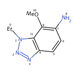 CCn1nnc2ccc(N)c(OC)c21